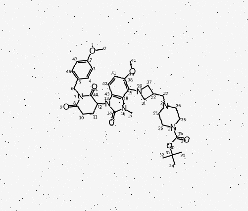 COc1ccc(CN2C(=O)CCC(n3c(=O)n(C)c4c(N5CC(CN6CCN(C(=O)OC(C)(C)C)CC6)C5)c(OC)ccc43)C2=O)cc1